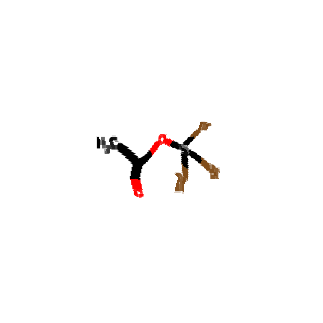 CC(=O)O[Si](Br)(Br)Br